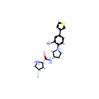 N#Cc1cc(-c2ccsc2)ccc1N1CC[C@H](NC(=O)[C@@H]2C[C@H](F)CN2)C1